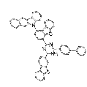 c1ccc(-c2ccc(C3=NC(c4ccc(-n5c6ccccc6c6cc7ccccc7cc65)c5c4oc4ccccc45)=NC(c4ccc5c(c4)sc4ccccc45)N3)cc2)cc1